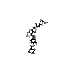 CCN(CC)CC=CC(=O)N1CCc2c(sc3ncnc(Nc4ccc(OCc5cnccn5)c(Cl)c4)c23)C1